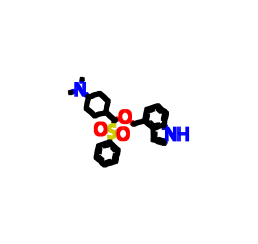 CN(C)C1CCC(C(OCc2cccc3[nH]ccc23)S(=O)(=O)c2ccccc2)CC1